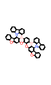 c1ccc2c(c1)oc1cc3c4c(c12)-n1c2ccccc2c2cccc(c21)B4c1ccc2c(c1O3)Oc1cc3oc4ccccc4c3c3c1B2c1cccc2c4ccccc4n-3c12